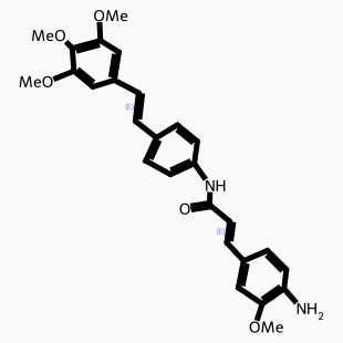 COc1cc(/C=C/C(=O)Nc2ccc(/C=C/c3cc(OC)c(OC)c(OC)c3)cc2)ccc1N